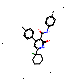 Cc1ccc(NC(=O)c2c(-c3ccc(C)cc3)cc(C3(F)CCCCC3)[nH]c2=O)cc1